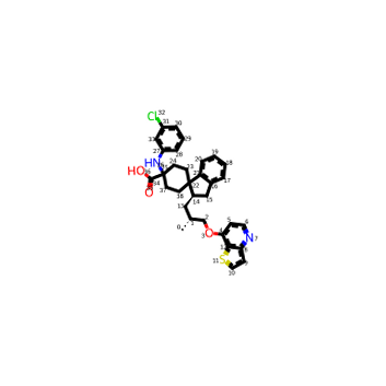 C[C@@H](COc1ccnc2ccsc12)C[C@@H]1Cc2ccccc2C12CCC(Nc1cccc(Cl)c1)(C(=O)O)CC2